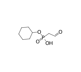 O=CCP(=O)(O)OC1CCCCC1